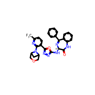 O=C1Nc2ccccc2C(c2ccccc2)=N[C@@H]1Nc1nnc(-c2ccc(C(F)(F)F)nc2N2C3COCC2C3)o1